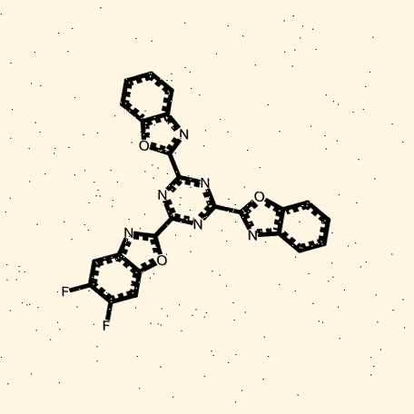 Fc1cc2nc(-c3nc(-c4nc5ccccc5o4)nc(-c4nc5ccccc5o4)n3)oc2cc1F